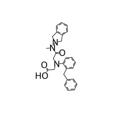 CN(C(=O)CN(CC(=O)O)c1ccccc1Cc1ccccc1)N1Cc2ccccc2C1